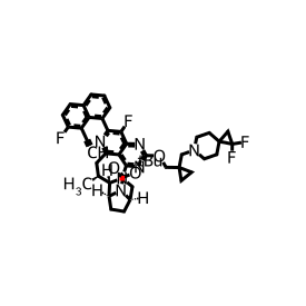 C#Cc1c(F)ccc2cccc(-c3nc4c5c(nc(OCC6(CN7CCC8(CC7)CC8(F)F)CC6)nc5c3F)N3C[C@H]5CC[C@@H]([C@@H]3[C@@H](C)C4)N5C(=O)OC(C)(C)C)c12